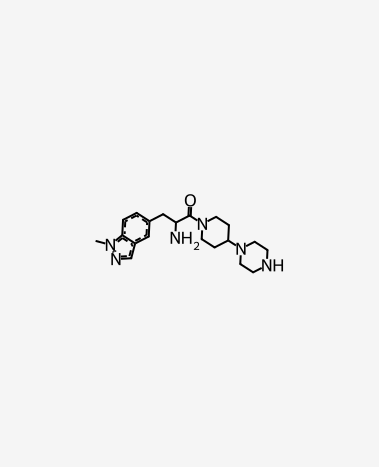 Cn1ncc2cc(CC(N)C(=O)N3CCC(N4CCNCC4)CC3)ccc21